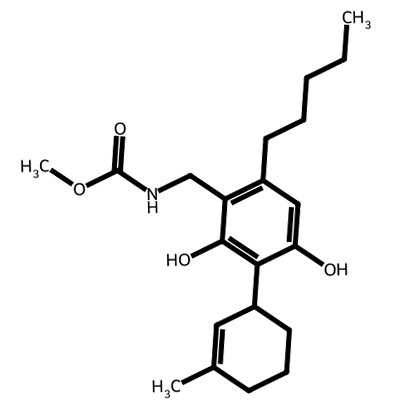 CCCCCc1cc(O)c(C2C=C(C)CCC2)c(O)c1CNC(=O)OC